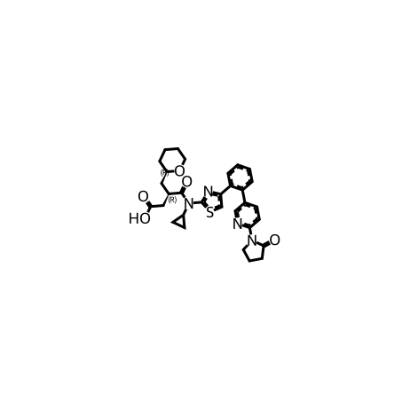 O=C(O)C[C@@H](C[C@H]1CCCCO1)C(=O)N(c1nc(-c2ccccc2-c2ccc(N3CCCC3=O)nc2)cs1)C1CC1